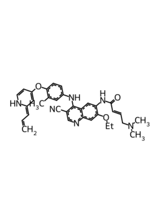 C=C/C=C1/C=C(Oc2ccc(Nc3c(C#N)cnc4cc(OCC)c(NC(=O)/C=C/CN(C)C)cc34)cc2C)C=CN1